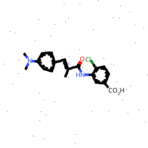 C/C(=C\c1ccc(N(C)C)cc1)C(=O)Nc1cc(C(=O)O)ccc1Cl